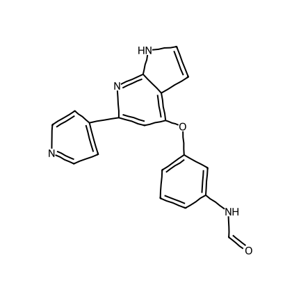 O=CNc1cccc(Oc2cc(-c3ccncc3)nc3[nH]ccc23)c1